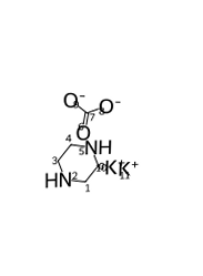 C1CNCCN1.O=C([O-])[O-].[K+].[K+]